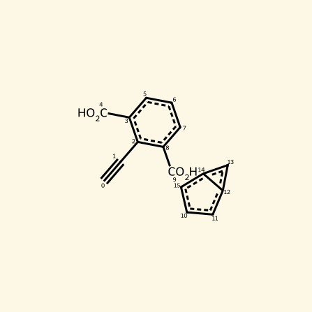 C#Cc1c(C(=O)O)cccc1C(=O)O.c1cc2cc-2c1